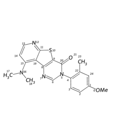 COc1ccc(-n2cnc3c(sc4nccc(N(C)C)c43)c2=O)c(C)c1